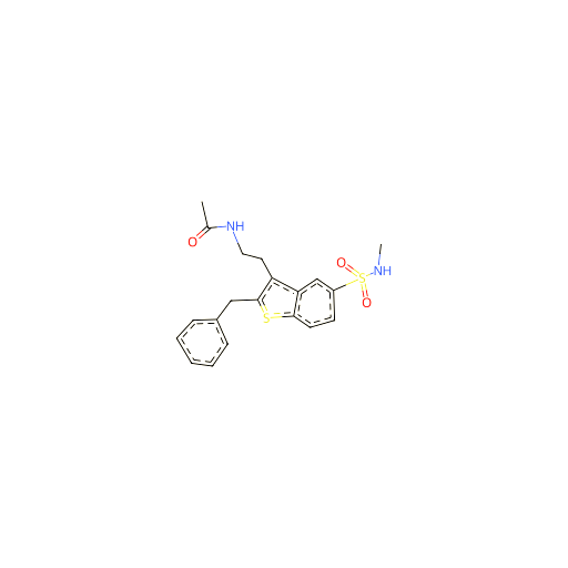 CNS(=O)(=O)c1ccc2sc(Cc3ccccc3)c(CCNC(C)=O)c2c1